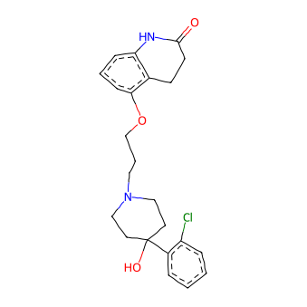 O=C1CCc2c(cccc2OCCCN2CCC(O)(c3ccccc3Cl)CC2)N1